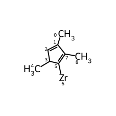 CC1=CC(C)[C]([Zr])=C1C